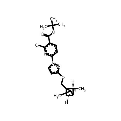 C[C@@H]1C2CC1(COc1ccn(-c3ccc(C(=O)OC(C)(C)C)c(Cl)n3)n1)[C@@H]2C